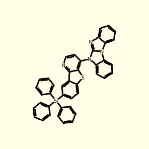 c1ccc([Si](c2ccccc2)(c2ccccc2)c2ccc3sc4c(-n5c6ccccc6n6c7ccccc7nc56)ccnc4c3c2)cc1